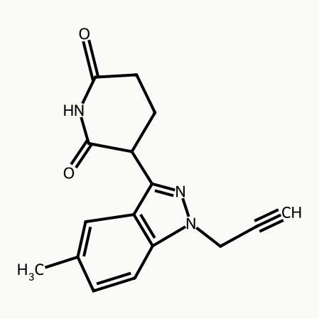 C#CCn1nc(C2CCC(=O)NC2=O)c2cc(C)ccc21